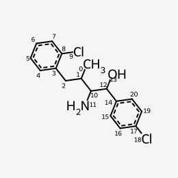 CC(Cc1ccccc1Cl)C(N)C(O)c1ccc(Cl)cc1